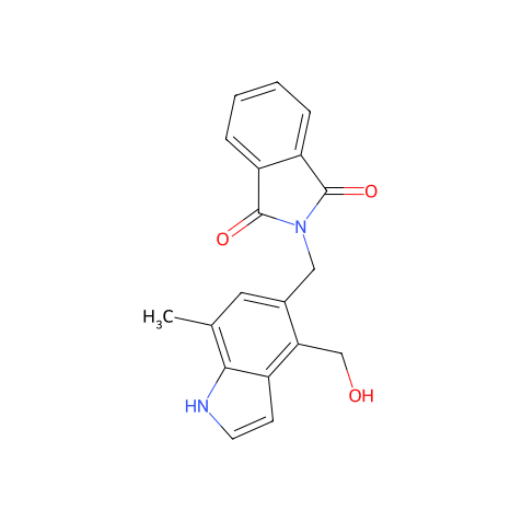 Cc1cc(CN2C(=O)c3ccccc3C2=O)c(CO)c2cc[nH]c12